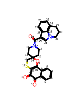 O=C1C(=O)c2ccccc2C2=C1SCC1(CCN(C(=O)c3cn4c5c(cccc35)CCC4)CC1)O2